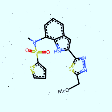 COCc1nnc(-c2cc3cccc(N(C)S(=O)(=O)c4cccs4)c3[nH]2)s1